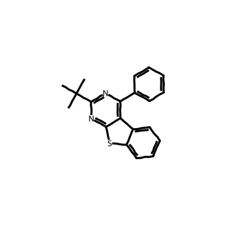 CC(C)(C)c1nc(-c2ccccc2)c2c(n1)sc1ccccc12